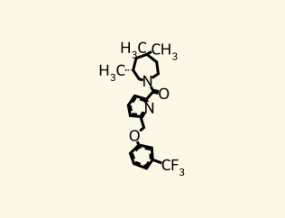 C[C@H]1CN(C(=O)c2cccc(COc3cccc(C(F)(F)F)c3)n2)CCC(C)(C)C1